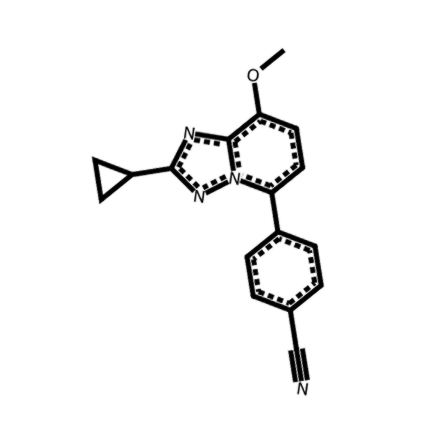 COc1ccc(-c2ccc(C#N)cc2)n2nc(C3CC3)nc12